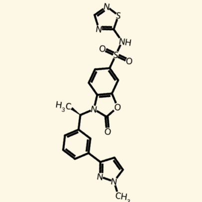 C[C@H](c1cccc(-c2ccn(C)n2)c1)n1c(=O)oc2cc(S(=O)(=O)Nc3ncns3)ccc21